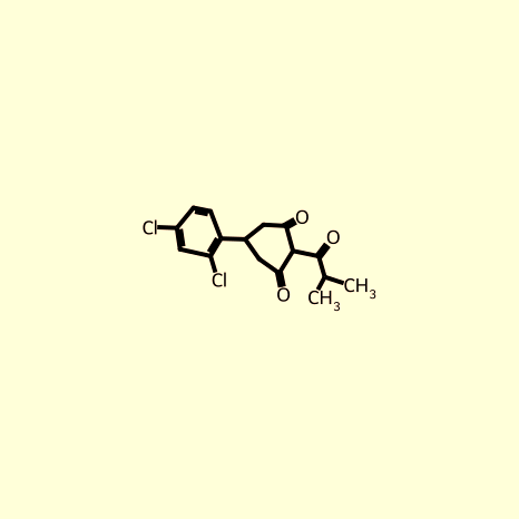 CC(C)C(=O)C1C(=O)CC(c2ccc(Cl)cc2Cl)CC1=O